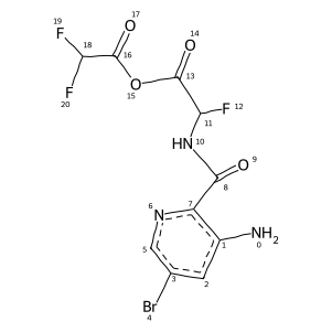 Nc1cc(Br)cnc1C(=O)NC(F)C(=O)OC(=O)C(F)F